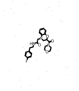 O=C(CN1CC(C(=O)N2CCOCC2)Oc2ccccc21)NCCc1ccc(F)cc1